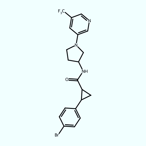 O=C(NC1CCN(c2cncc(C(F)(F)F)c2)C1)C1CC1c1ccc(Br)cc1